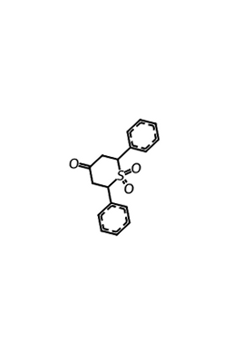 O=C1CC(c2ccccc2)S(=O)(=O)C(c2ccccc2)C1